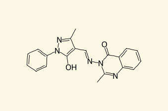 Cc1nn(-c2ccccc2)c(O)c1C=Nn1c(C)nc2ccccc2c1=O